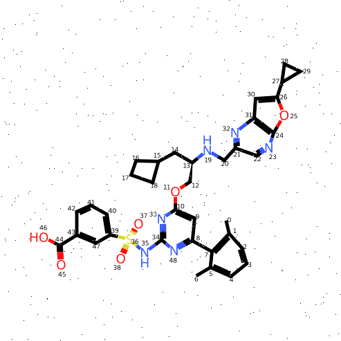 Cc1cccc(C)c1-c1cc(OC[C@@H](CC2CCC2)NCc2cnc3oc(C4CC4)cc3n2)nc(NS(=O)(=O)c2cccc(C(=O)O)c2)n1